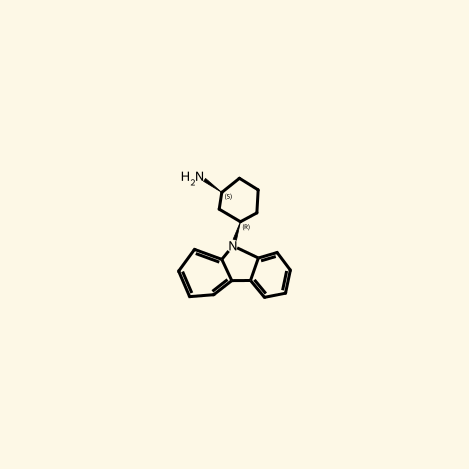 N[C@H]1CCC[C@@H](n2c3ccccc3c3ccccc32)C1